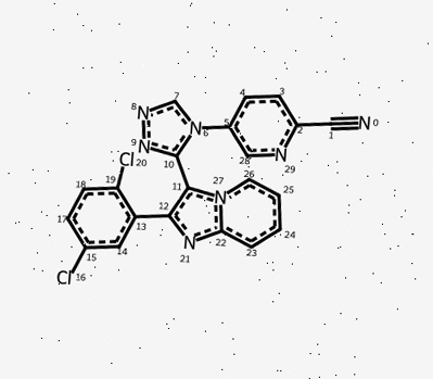 N#Cc1ccc(-n2cnnc2-c2c(-c3cc(Cl)ccc3Cl)nc3ccccn23)cn1